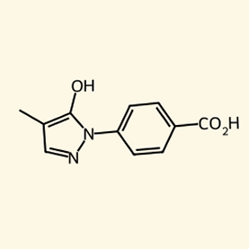 Cc1cnn(-c2ccc(C(=O)O)cc2)c1O